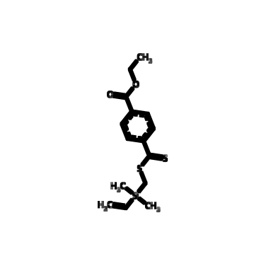 C=C[Si](C)(C)CSC(=S)c1ccc(C(=O)OCC)cc1